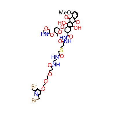 COc1cccc2c1C(=O)c1c(O)c3c(c(O)c1C2=O)CC(C(=O)NNC(=O)CCSCC(=O)NCCNC(=O)CCOCCOCCOc1cc(CBr)nc(CBr)c1)C[C@@H]3O[C@H]1CC[C@H](O[C@@H]2COCCN2)[C@H](C)O1